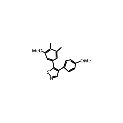 COc1ccc(-c2cnsc2-c2cc(C)c(C)c(OC)c2)cc1